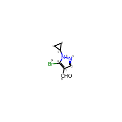 O=Cc1cnn(C2CC2)c1Br